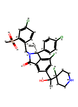 CCC(O)(c1cc(F)c2c(c1)C(=O)N(Cc1ccc(Cl)cc1S(C)(=O)=O)[C@@]2(OC)c1ccc(Cl)cc1)C1(F)CCNCC1